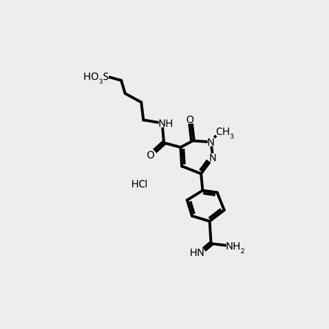 Cl.Cn1nc(-c2ccc(C(=N)N)cc2)cc(C(=O)NCCCCS(=O)(=O)O)c1=O